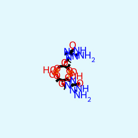 CC1OP(=O)(O)OC[C@@H](O[C@H](C)n2cnc3c(=O)[nH]c(N)nc32)C(C)OP(=O)(O)OC[C@H]1O[C@H](C)n1cnc2c(=O)[nH]c(N)nc21